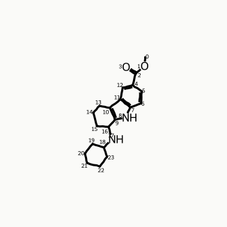 COC(=O)c1ccc2[nH]c3c(c2c1)CCCC3NC1CCCCC1